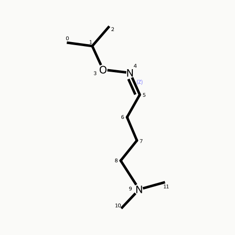 CC(C)O/N=C\CCCN(C)C